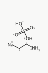 NC[CH2][Na].O=S(=O)(O)O